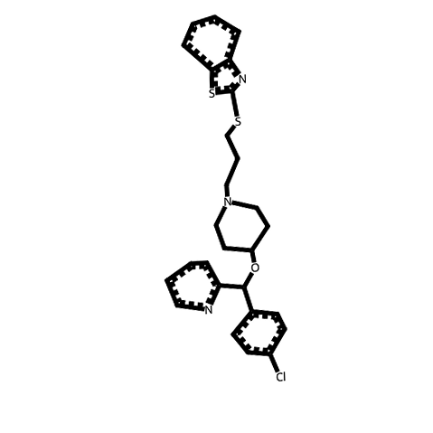 Clc1ccc(C(OC2CCN(CCCSc3nc4ccccc4s3)CC2)c2ccccn2)cc1